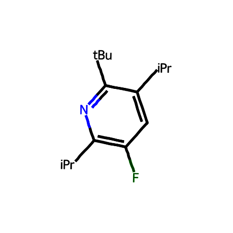 CC(C)c1cc(F)c(C(C)C)nc1C(C)(C)C